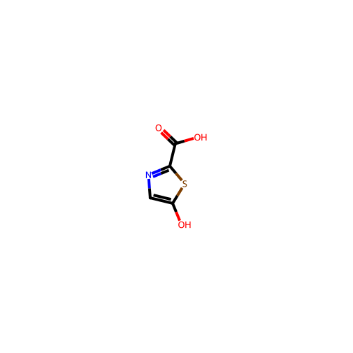 O=C(O)c1ncc(O)s1